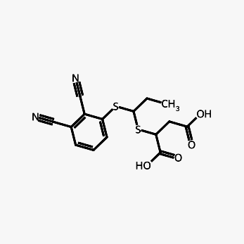 CCC(Sc1cccc(C#N)c1C#N)SC(CC(=O)O)C(=O)O